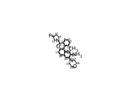 Cc1cccc(C(=O)N2CCC(F)C2)c1-c1cccc2cc(N3CCOCC3)c(N)nc12